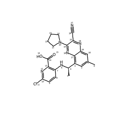 Cc1cc([C@@H](C)Nc2ccc(Cl)nc2C(=O)O)c2nc(N3CCCC3)c(C#N)nc2c1